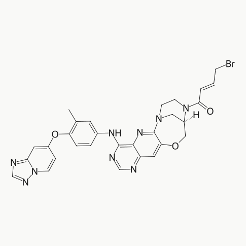 Cc1cc(Nc2ncnc3cc4c(nc23)N2CCN(C(=O)/C=C/CBr)[C@@H](CO4)C2)ccc1Oc1ccn2ncnc2c1